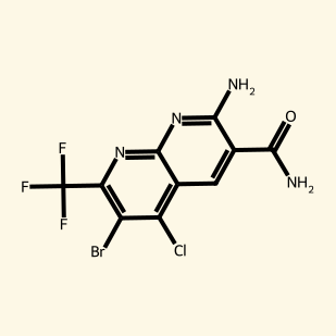 NC(=O)c1cc2c(Cl)c(Br)c(C(F)(F)F)nc2nc1N